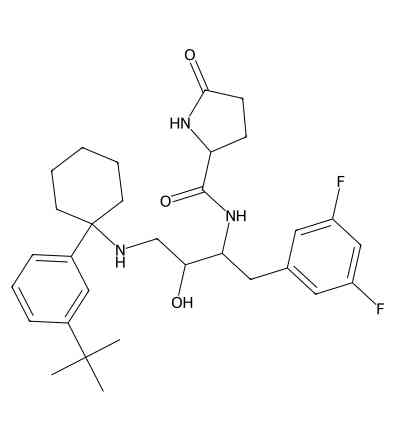 CC(C)(C)c1cccc(C2(NCC(O)C(Cc3cc(F)cc(F)c3)NC(=O)C3CCC(=O)N3)CCCCC2)c1